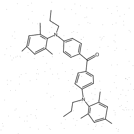 CCCN(c1ccc(C(=O)c2ccc(N(CCC)c3c(C)cc(C)cc3C)cc2)cc1)c1c(C)cc(C)cc1C